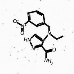 CCN(Cc1cccc([N+](=O)[O-])c1)c1c[nH]nc1C(N)=O